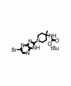 CC1(NC(=O)OC(C)(C)C)CCN(c2nc3nc(Br)cnc3[nH]2)CC1